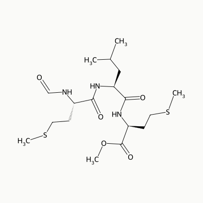 COC(=O)[C@H](CCSC)NC(=O)[C@H](CC(C)C)NC(=O)[C@H](CCSC)NC=O